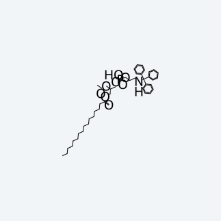 CCCCCCCCCCCCCCCC(=O)OC[C@H](COP(=O)(O)OCCNC(c1ccccc1)(c1ccccc1)c1ccccc1)OC(C)=O